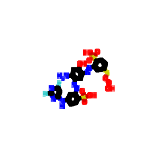 Nc1cc(O)c(/N=N/c2cc(SOOO)ccc2S(=O)(=O)O)cc1/N=N/c1cc(Nc2cc(F)nc(F)n2)ccc1S(=O)(=O)O